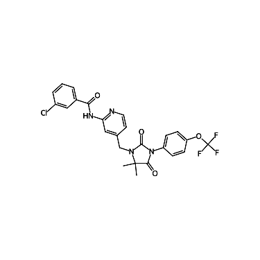 CC1(C)C(=O)N(c2ccc(OC(F)(F)F)cc2)C(=O)N1Cc1ccnc(NC(=O)c2cccc(Cl)c2)c1